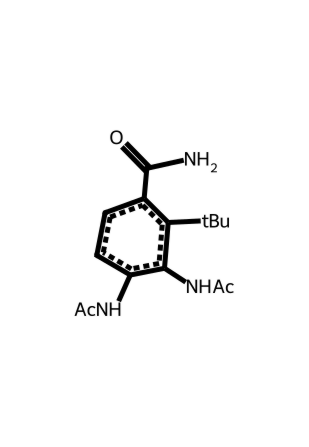 CC(=O)Nc1ccc(C(N)=O)c(C(C)(C)C)c1NC(C)=O